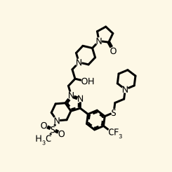 CS(=O)(=O)N1CCc2c(c(-c3ccc(C(F)(F)F)c(SCCN4CCCCC4)c3)nn2CC(O)CN2CCC(N3CCCC3=O)CC2)C1